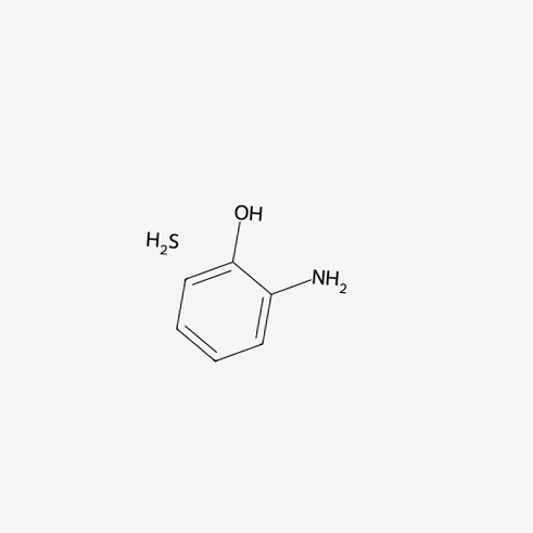 Nc1ccccc1O.S